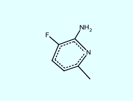 Cc1ccc(F)c(N)n1